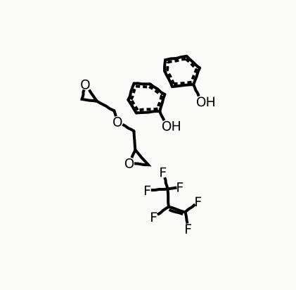 C(OCC1CO1)C1CO1.FC(F)=C(F)C(F)(F)F.Oc1ccccc1.Oc1ccccc1